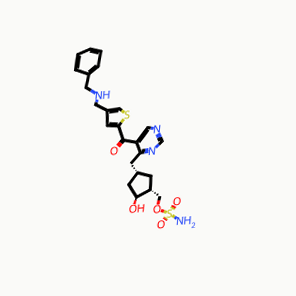 NS(=O)(=O)OC[C@H]1C[C@@H](Cc2ncncc2C(=O)c2cc(CNCc3ccccc3)cs2)C[C@@H]1O